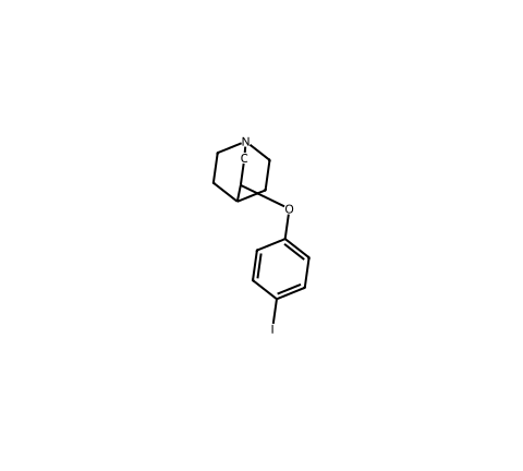 Ic1ccc(OC2CN3CCC2CC3)cc1